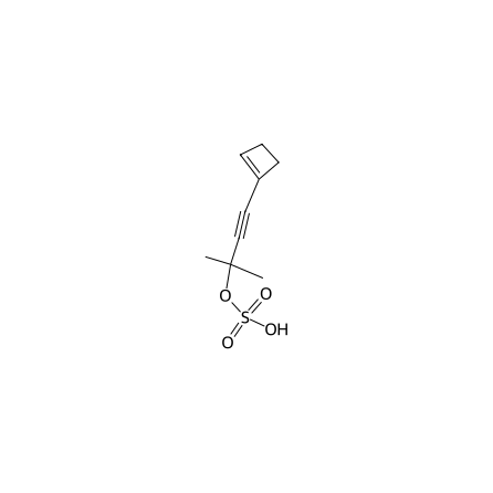 CC(C)(C#CC1=CCC1)OS(=O)(=O)O